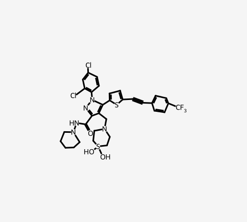 O=C(NN1CCCCC1)c1nn(-c2ccc(Cl)cc2Cl)c(-c2ccc(C#Cc3ccc(C(F)(F)F)cc3)s2)c1CN1CCS(O)(O)CC1